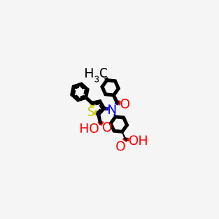 CC1CCC(C(=O)N(c2cc(-c3ccccc3)sc2C(=O)O)[C@H]2CC[C@@H](C(=O)O)CC2)CC1